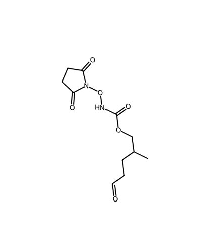 CC(CCC=O)COC(=O)NON1C(=O)CCC1=O